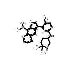 CP(C)c1c2ncccc2cc2c(-c3nc(NC4CCC(C)(C)NC4)ncc3C(F)(F)F)c[nH]c12